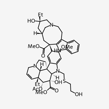 CC[C@]1(O)C[C@@H]2CN(CCc3c([nH]c4ccccc34)[C@@](C(=O)OC)(C3C=C4C(=CC3OC)N(CSCCO)[C@H]3[C@@](O)(C(=O)OC)[C@H](OC(C)=O)[C@]5(CC)C=CCN6CC[C@]43[C@@H]65)C2)C1